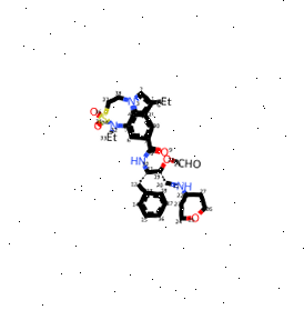 CCc1cn2c3c(cc(C(=O)N[C@@H](Cc4ccccc4)[C@@H](CNC4CCOCC4)OC=O)cc13)N(CC)S(=O)(=O)CC2